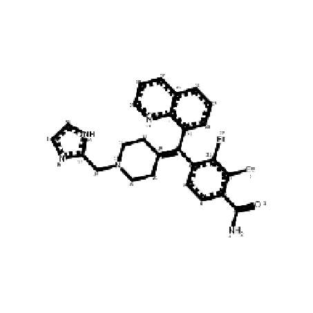 CCc1c(C(N)=O)ccc(C(=C2CCN(Cc3ncc[nH]3)CC2)c2cccc3cccnc23)c1CC